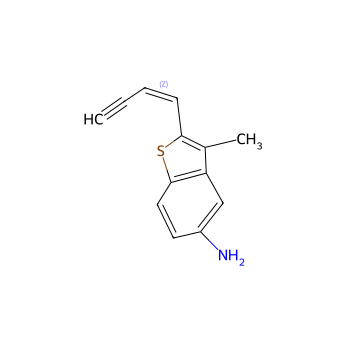 C#C/C=C\c1sc2ccc(N)cc2c1C